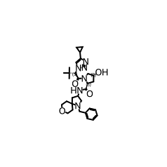 CC(C)(C)[C@@H](C(=O)N1C[C@H](O)C[C@H]1C(=O)NC1CN(Cc2ccccc2)C2(CCOCC2)C1)n1cc(C2CC2)nn1